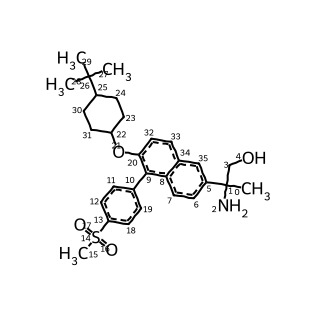 CC(N)(CO)c1ccc2c(-c3ccc(S(C)(=O)=O)cc3)c(OC3CCC(C(C)(C)C)CC3)ccc2c1